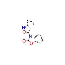 CC1=NOC(n2c(=O)oc3ccccc32)C1